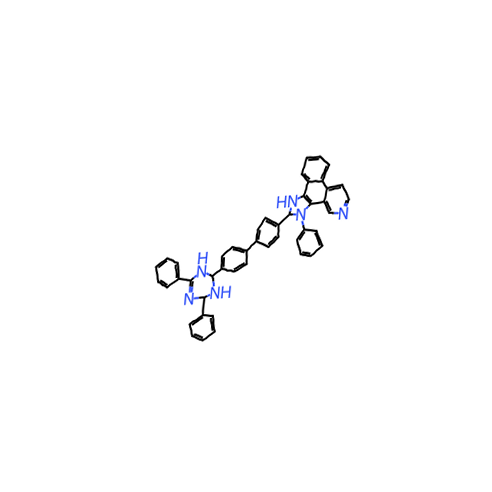 c1ccc(C2=NC(c3ccccc3)NC(c3ccc(-c4ccc(C5Nc6c(c7cnccc7c7ccccc67)N5c5ccccc5)cc4)cc3)N2)cc1